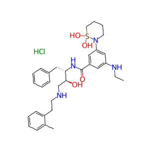 CCNc1cc(C(=O)N[C@@H](Cc2ccccc2)[C@@H](O)CNCCc2ccccc2C)cc(N2CCCCS2(O)O)c1.Cl